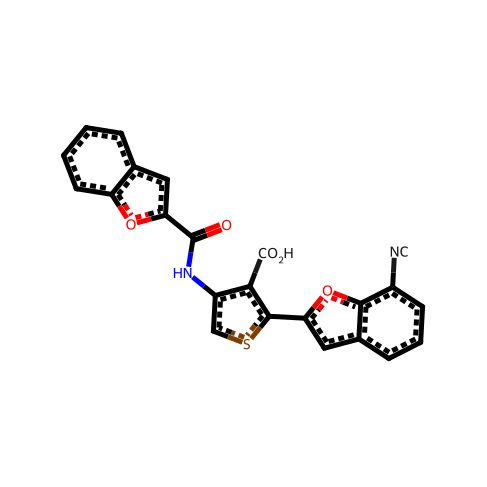 [C-]#[N+]c1cccc2cc(-c3scc(NC(=O)c4cc5ccccc5o4)c3C(=O)O)oc12